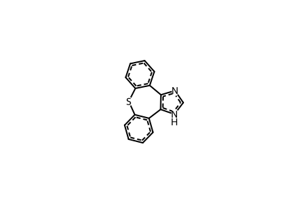 c1ccc2c(c1)Sc1ccccc1-c1[nH]cnc1-2